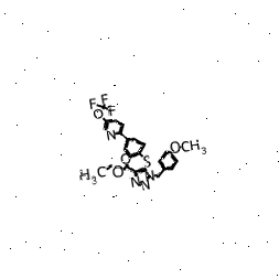 CCOC(=O)c1nnn(Cc2ccc(OC)cc2)c1Sc1ccc(-c2ccc(OC(F)(F)F)cn2)cc1